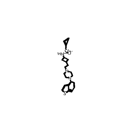 [O-][S+](NC1CC(CCN2CCN(c3cccc4sccc34)CC2)C1)C1CC1